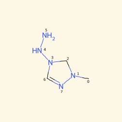 CN1CN(NN)C=N1